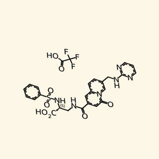 O=C(NC[C@H](NS(=O)(=O)c1ccccc1)C(=O)O)c1cc(=O)n2cc(CNc3ncccn3)ccc2c1.O=C(O)C(F)(F)F